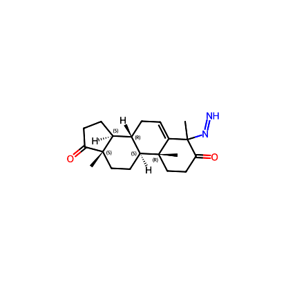 CC1(N=N)C(=O)CC[C@@]2(C)C1=CC[C@@H]1[C@@H]2CC[C@]2(C)C(=O)CC[C@@H]12